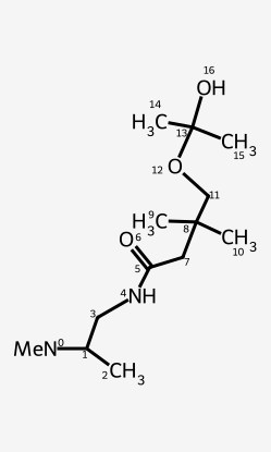 CNC(C)CNC(=O)CC(C)(C)COC(C)(C)O